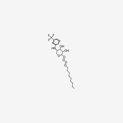 CCCCCCCCCOOOOC1OCC(Nc2cncc(C(F)(F)F)n2)C(O)C1O